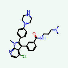 CN(C)CCCNC(=O)c1cccc(-c2c(-c3ccc(N4CCNCC4)cc3)n(C)c3nccc(Cl)c23)c1